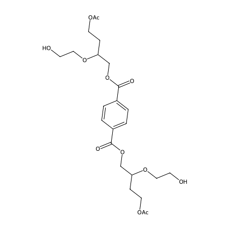 CC(=O)OCCC(COC(=O)c1ccc(C(=O)OCC(CCOC(C)=O)OCCO)cc1)OCCO